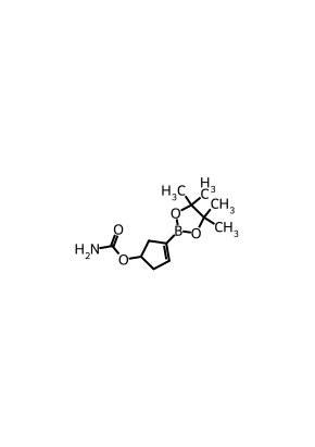 CC1(C)OB(C2=CCC(OC(N)=O)C2)OC1(C)C